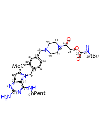 CCCCCNc1nc(N)nc2ccn(Cc3ccc(CN4CCN(C(=O)COC(=O)NC(C)(C)C)CC4)cc3OC)c12